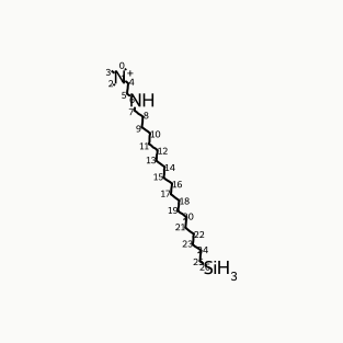 C[N+](C)(C)CCNCCCCCCCCCCCCCCCCCCC[SiH3]